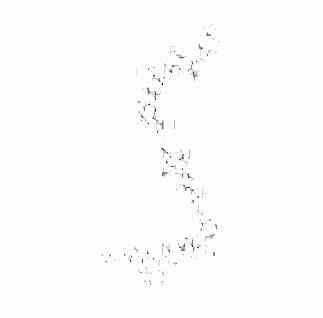 CN[C@@H](C)C(=O)N[C@H](C(=O)N1CCC[C@H]1c1nc(C(=O)c2cccc(OCCNC(=O)CN3C[C@H]4CN(CCCNc5cc(N6CCC7(CC6)CN(c6cc(F)c(CN8CCC(C)(C)CC8)cc6F)CCN7)ncn5)C[C@H]4C3)c2)cs1)C1CCCCC1